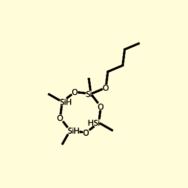 CCCCO[Si]1(C)O[SiH](C)O[SiH](C)O[SiH](C)O1